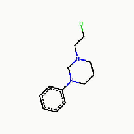 ClCCN1CCCN(c2ccccc2)C1